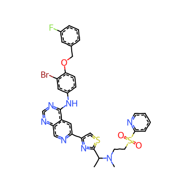 CC(c1nc(-c2cc3c(Nc4ccc(OCc5cccc(F)c5)c(Br)c4)ncnc3cn2)cs1)N(C)CCS(=O)(=O)c1ccccn1